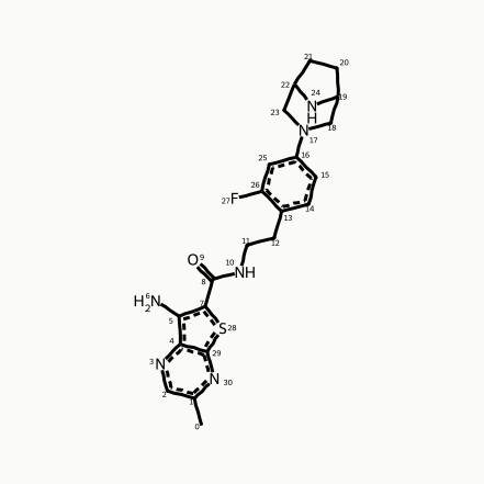 Cc1cnc2c(N)c(C(=O)NCCc3ccc(N4CC5CCC(C4)N5)cc3F)sc2n1